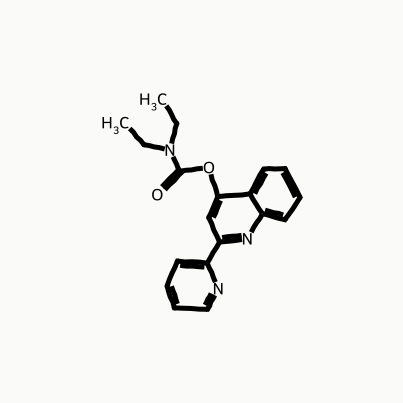 CCN(CC)C(=O)Oc1cc(-c2ccccn2)nc2ccccc12